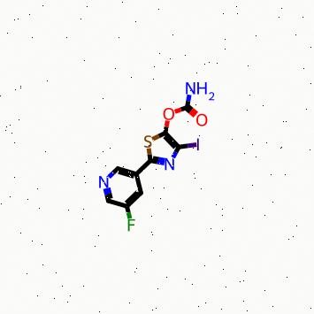 NC(=O)Oc1sc(-c2cncc(F)c2)nc1I